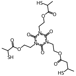 CC(S)CC(=O)OCCn1c(=O)n(CCOC(=O)C(C)S)c(=O)n(CCOC(=O)C(C)S)c1=O